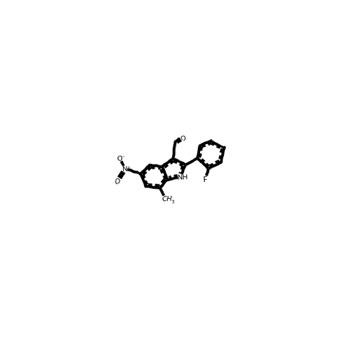 Cc1cc([N+](=O)[O-])cc2c(C=O)c(-c3ccccc3F)[nH]c12